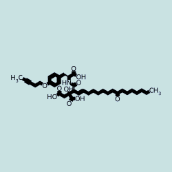 CC#CCCOc1ccc(C[C@H](NC(=O)[C@@H](/C=C/CCCCCCC(=O)CCCCCCC)[C@@](O)(CC(=O)O)C(=O)O)C(=O)O)cc1